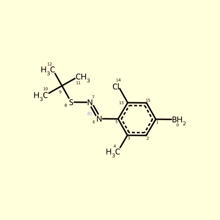 Bc1cc(C)c(/N=N/SC(C)(C)C)c(Cl)c1